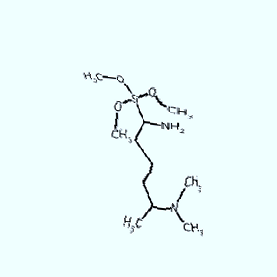 CO[Si](OC)(OC)C(N)CCCC(C)N(C)C